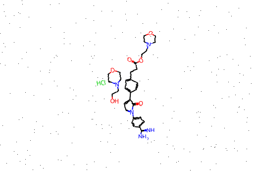 Cl.N=C(N)c1ccc(N2CC=C(c3ccc(CCC(=O)OCCN4CCOCC4)cc3)C2=O)cc1.OCCN1CCOCC1